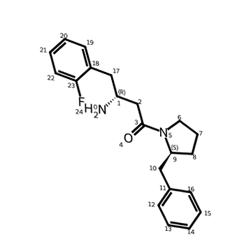 N[C@@H](CC(=O)N1CCC[C@H]1Cc1ccccc1)Cc1ccccc1F